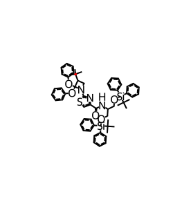 CC(C)(C)C1CN(c2nc(C(=O)NC(CO[Si](c3ccccc3)(c3ccccc3)C(C)(C)C)CO[Si](c3ccccc3)(c3ccccc3)C(C)(C)C)cs2)C1(Oc1ccccc1)Oc1ccccc1